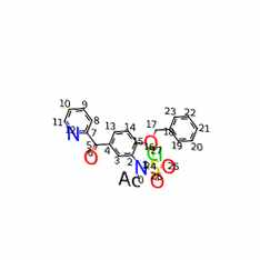 CC(=O)N(c1cc(C(=O)c2ccccn2)ccc1OCc1ccccc1)S(=O)(=O)Cl